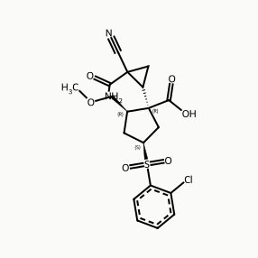 COC[C@@H]1C[C@H](S(=O)(=O)c2ccccc2Cl)C[C@@]1(C(=O)O)C1CC1(C#N)C(N)=O